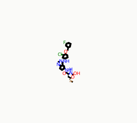 CSCC[C@H](NC(=O)O)C(=O)Nc1ccc2ncnc(Nc3ccc(OCc4cccc(F)c4)c(Cl)c3)c2c1